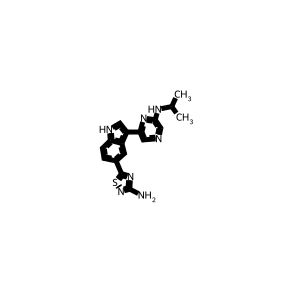 CC(C)Nc1cncc(-c2c[nH]c3ccc(-c4nc(N)ns4)cc23)n1